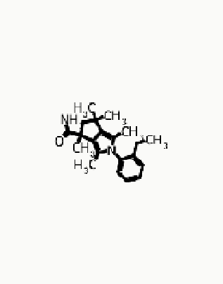 CCc1ccccc1-n1c(C)c2c(c1C)C(C)(C(N)=O)CC2(C)C